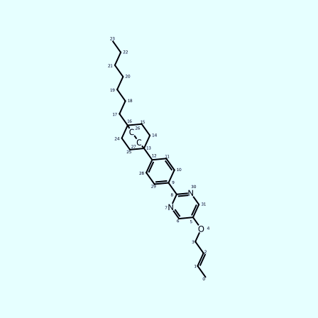 CC=CCOc1cnc(-c2ccc(C34CCC(CCCCCCC)(CC3)CC4)cc2)nc1